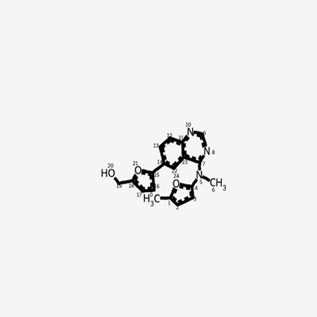 Cc1ccc(N(C)c2ncnc3ccc(-c4ccc(CO)o4)cc23)o1